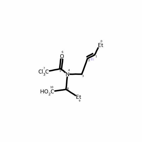 CC/C=C/CN(C(=O)C(Cl)(Cl)Cl)C(CC)C(=O)O